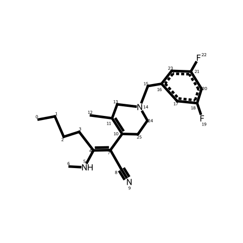 CCCC/C(NC)=C(/C#N)C1=C(C)CN(Cc2cc(F)cc(F)c2)CC1